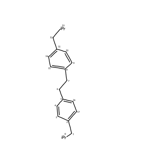 CC(C)Cc1ccc(CCc2ccc(CC(C)C)cc2)cc1